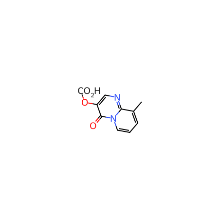 Cc1cccn2c(=O)c(OC(=O)O)cnc12